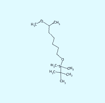 COC(C)CCCCCO[Si](C)(C)C(C)(C)C